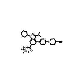 CC(C)c1nn(C2CCCOC2)c2nc(C(=O)NS(C)(=O)=O)cc(-c3ccc(N4CCC(C#N)CC4)nc3)c12